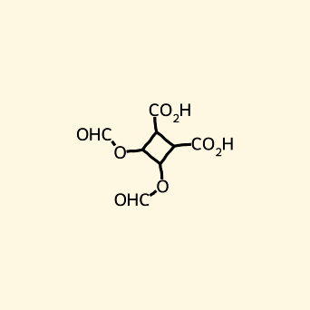 O=COC1C(OC=O)C(C(=O)O)C1C(=O)O